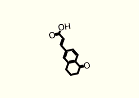 O=C(O)C=Cc1ccc2c(c1)CCCC2=O